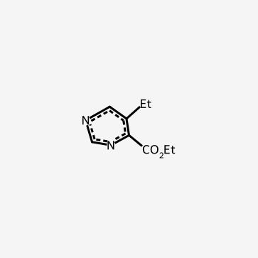 CCOC(=O)c1ncncc1CC